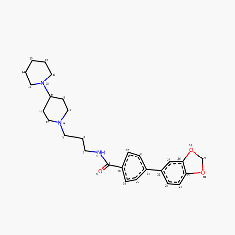 O=C(NCCCN1CCC(N2CCCCC2)CC1)c1ccc(-c2ccc3c(c2)OCO3)cc1